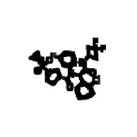 O=C(NC1CC(F)(F)C1)C(c1ccccc1Cl)N(C(=O)[C@@H]1CCN(S(=O)(=O)N2CC2)C1)c1cccc(F)c1